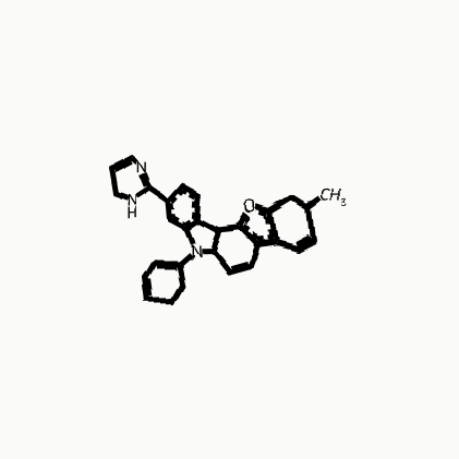 CC1C=Cc2c(oc3c2C=CC2C3c3ccc(C4=NC=CCN4)cc3N2C2=CC=CCC2)C1